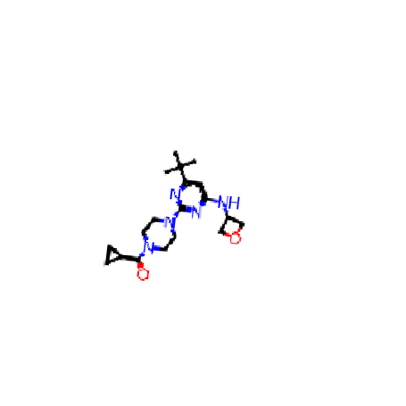 CC(C)(C)c1cc(NC2COC2)nc(N2CCN(C(=O)C3CC3)CC2)n1